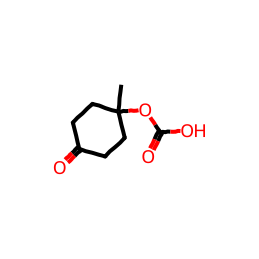 CC1(OC(=O)O)CCC(=O)CC1